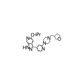 CC(C)Oc1cc2c(-c3ccnc(N4CCN(CC5CCOC5)CC4)c3)n[nH]c2cn1